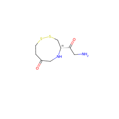 NCC(=O)[C@H]1CSSCCC(=O)CN1